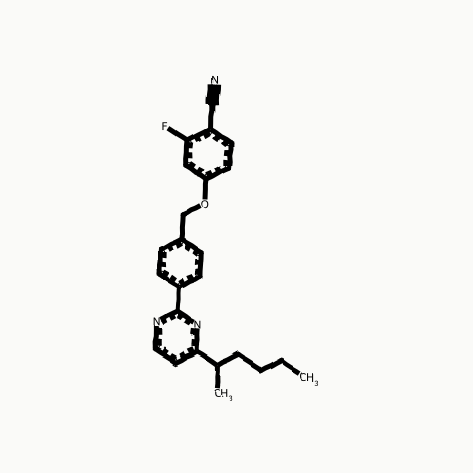 CCCCC(C)c1ccnc(-c2ccc(COc3ccc(C#N)c(F)c3)cc2)n1